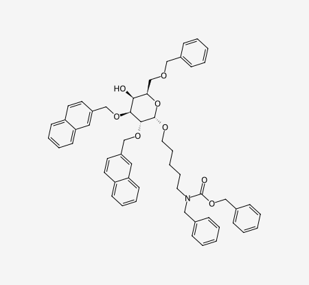 O=C(OCc1ccccc1)N(CCCCCO[C@H]1O[C@H](COCc2ccccc2)[C@H](O)[C@H](OCc2ccc3ccccc3c2)[C@H]1OCc1ccc2ccccc2c1)Cc1ccccc1